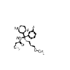 CCC(=O)N[C@](CCCCOC)(c1cccc(F)c1F)C1CCCNC1